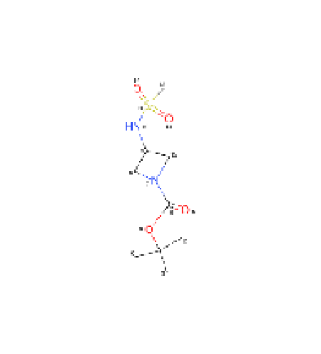 CC(C)(C)OC(=O)N1CC(NS(C)(=O)=O)C1